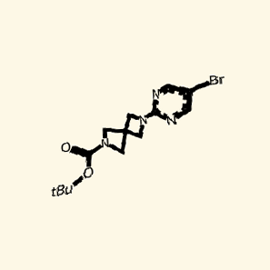 CC(C)(C)OC(=O)N1CC2(C1)CN(c1ncc(Br)cn1)C2